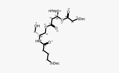 CCCCCCCCCCCCCC(=O)N[C@H](CO)COC(=O)C[C@@H](CCCCCCC)OC(=O)CCCCCCCCCCC